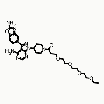 CCOCCOCCOCCOCCC(=O)N1CCC(n2nc(-c3ccc4oc(N)nc4c3)c3c(N)ncnc32)CC1